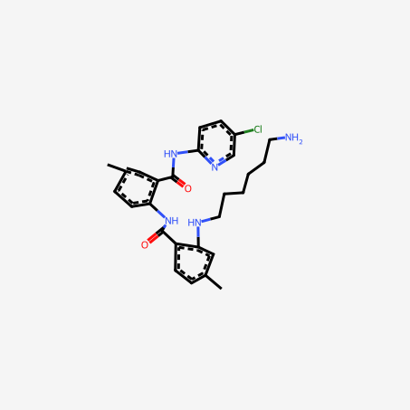 Cc1ccc(C(=O)Nc2ccc(C)cc2C(=O)Nc2ccc(Cl)cn2)c(NCCCCCCN)c1